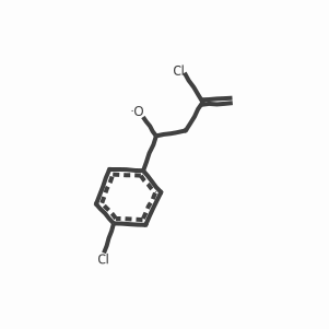 C=C(Cl)CC([O])c1ccc(Cl)cc1